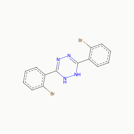 Brc1ccccc1C1=NN=C(c2ccccc2Br)NN1